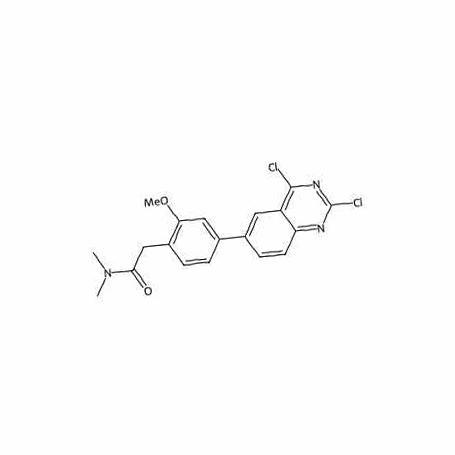 COc1cc(-c2ccc3nc(Cl)nc(Cl)c3c2)ccc1CC(=O)N(C)C